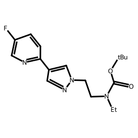 CCN(CCn1cc(-c2ccc(F)cn2)cn1)C(=O)OC(C)(C)C